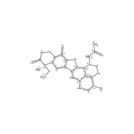 CC[C@@]1(O)C(=O)OCc2c1cc1n(c2=O)Cc2c-1nc1ccc(Cl)c3c1c2C(NC(C)=O)CC3